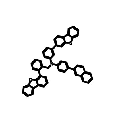 c1cc(-c2ccc3c(c2)sc2ccccc23)cc(N(Cc2ccccc2-c2cccc3c2oc2ccccc23)c2ccc(-c3ccc4ccccc4c3)cc2)c1